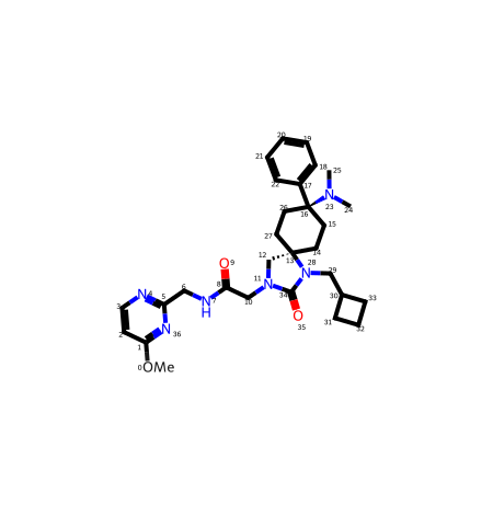 COc1ccnc(CNC(=O)CN2C[C@]3(CC[C@](c4ccccc4)(N(C)C)CC3)N(CC3CCC3)C2=O)n1